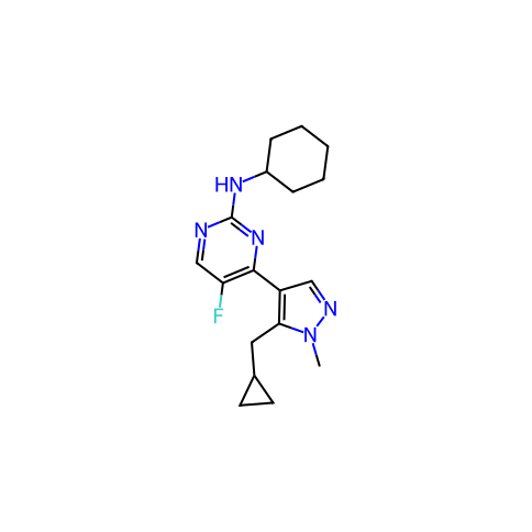 Cn1ncc(-c2nc(NC3CCCCC3)ncc2F)c1CC1CC1